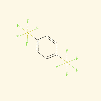 FS(F)(F)(F)(F)c1ccc(S(F)(F)(F)(F)F)cc1